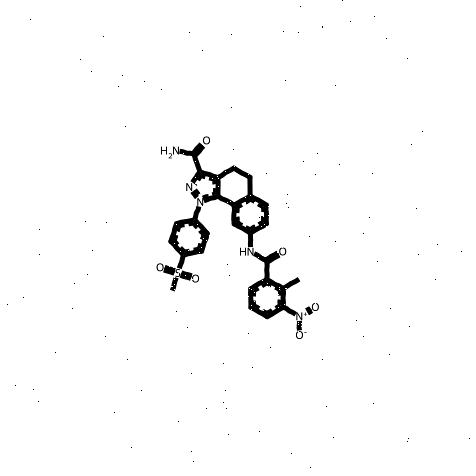 Cc1c(C(=O)Nc2ccc3c(c2)-c2c(c(C(N)=O)nn2-c2ccc(S(C)(=O)=O)cc2)CC3)cccc1[N+](=O)[O-]